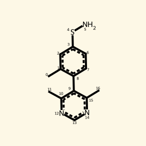 Cc1cc(SN)ccc1-c1c(C)ncnc1C